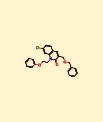 O=c1c(COCc2ccccc2)cc2ccc(Cl)cc2n1CCOc1ccccc1